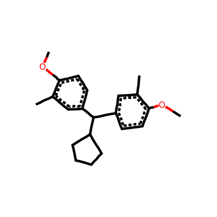 COc1ccc(C(c2ccc(OC)c(C)c2)C2CCCC2)cc1C